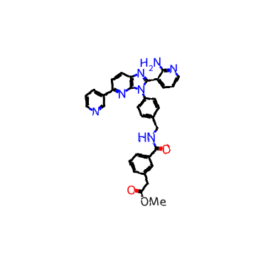 COC(=O)Cc1cccc(C(=O)NCc2ccc(-n3c(-c4cccnc4N)nc4ccc(-c5cccnc5)nc43)cc2)c1